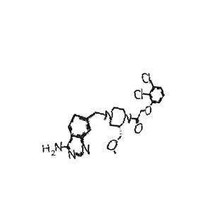 COC[C@@H]1CN(Cc2ccc3c(N)ncnc3c2)CCN1C(=O)COc1cccc(Cl)c1Cl